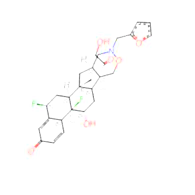 C[C@]12C[C@H](O)[C@@]3(F)[C@@H](C[C@H](F)C4=CC(=O)C=C[C@@]43C)[C@]1(C)C[C@H]1CN(Cc3ccco3)OC[C@]12C(=O)CO